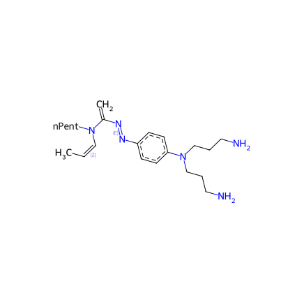 C=C(/N=N/c1ccc(N(CCCN)CCCN)cc1)N(/C=C\C)CCCCC